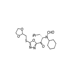 CC(C)C[C@@H](C(=O)c1nnc(SCC2OCCO2)o1)N(C=O)C1CCCCC1